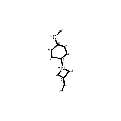 CCC1CN(C2CCC(OC)CC2)C1